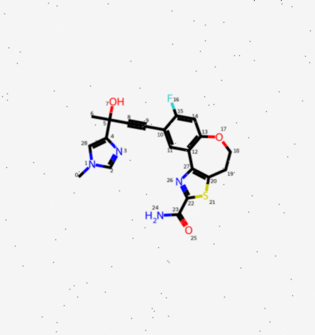 Cn1cnc(C(C)(O)C#Cc2cc3c(cc2F)OCCc2sc(C(N)=O)nc2-3)c1